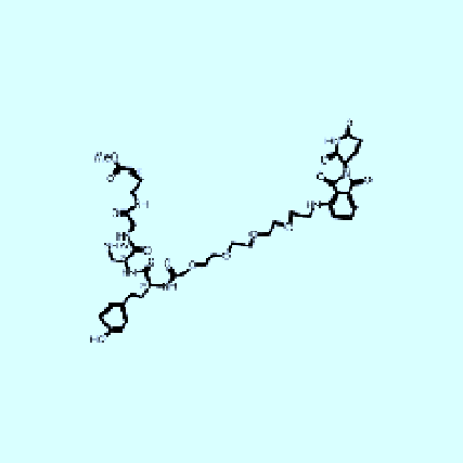 COC(=O)/C=C\CNC(=O)CNC(=O)[C@H](CNC(C)=O)NC(=O)[C@H](CCc1ccc(O)cc1)NC(=O)COCCOCCOCCOCCNc1cccc2c1C(=O)N(C1CCC(=O)NC1=O)C2=O